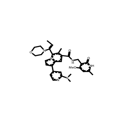 C/C=C(/c1c(C)c(C(=O)NCc2c(OC)cc(C)[nH]c2=O)cc2c(-c3ccnc(N(C)C)c3)ccn12)N1CCOCC1